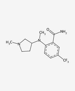 CN1CCC(N(C)c2ccc(C(F)(F)F)cc2C(N)=O)C1